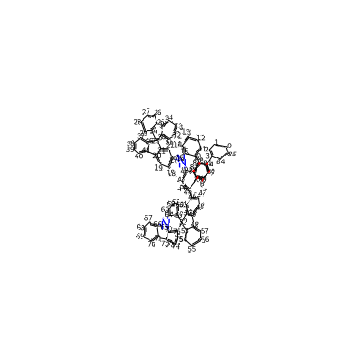 c1ccc(-c2ccccc2-c2ccccc2N(c2ccc3c(c2)C(c2ccccc2)(c2ccccc2)c2ccccc2-3)c2ccc(-c3ccc4c(c3)C3(c5ccccc5-4)c4ccccc4-n4c5ccccc5c5cccc3c54)c3ccccc23)cc1